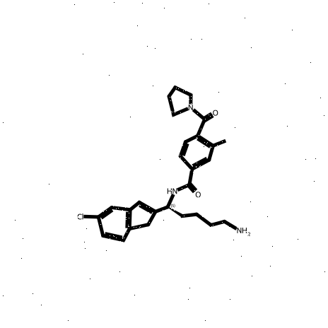 Cc1cc(C(=O)N[C@@H](CCCCN)C2=Cc3cc(Cl)ccc3C2)ccc1C(=O)N1CCCC1